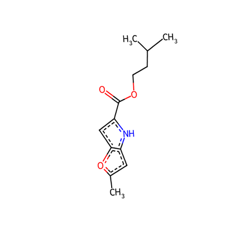 Cc1cc2[nH]c(C(=O)OCCC(C)C)cc2o1